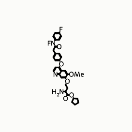 COc1cc2c(Oc3ccc(CC(=O)N(F)c4ccc(F)cc4)cc3)ccnc2cc1OCCC(N)C(=O)OC1CCCC1